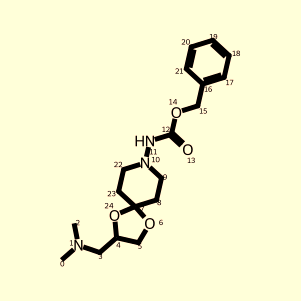 CN(C)CC1COC2(CCN(NC(=O)OCc3ccccc3)CC2)O1